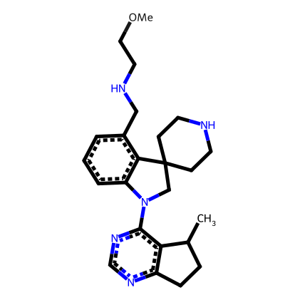 COCCNCc1cccc2c1C1(CCNCC1)CN2c1ncnc2c1C(C)CC2